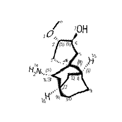 CO[C@H]1C[C@]2(C[C@@H]1O)[C@H]1CC[C@H](C1)[C@@H]2N